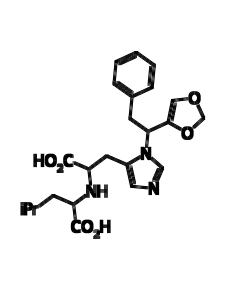 CC(C)CC(NC(Cc1cncn1C(Cc1ccccc1)C1=COCO1)C(=O)O)C(=O)O